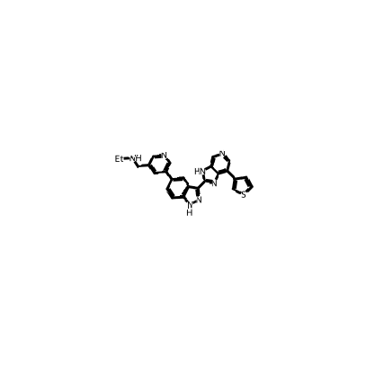 CCNCc1cncc(-c2ccc3[nH]nc(-c4nc5c(-c6ccsc6)cncc5[nH]4)c3c2)c1